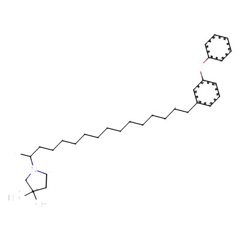 CC(CCCCCCCCCCCCCCc1cccc(Oc2ccccc2)c1)[N+]1CCC(C)(C)C1